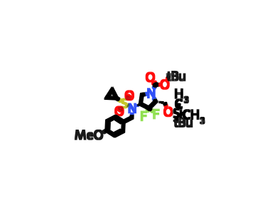 COc1ccc(CN([C@@H]2CN(C(=O)OC(C)(C)C)[C@H](CO[Si](C)(C)C(C)(C)C)C2(F)F)S(=O)(=O)C2CC2)cc1